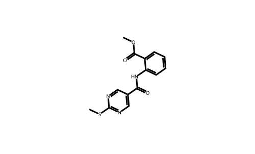 COC(=O)c1ccccc1NC(=O)c1cnc(SC)nc1